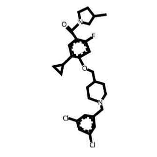 CC1CCN(C(=O)c2cc(C3CC3)c(OCC3CCN(Cc4cc(Cl)cc(Cl)c4)CC3)cc2F)C1